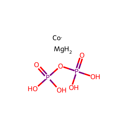 O=P(O)(O)OP(=O)(O)O.[Co].[MgH2]